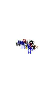 COC(C)(Cc1csc(Nc2ncc(Br)cc2Oc2ccccc2)n1)C(=O)NN=CN(C)C